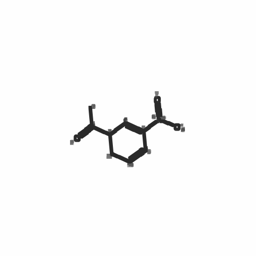 CC(=O)C1C=C([N+](=O)[O-])C=CC1